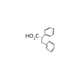 O=C(O)[C@@H](Cc1ccccc1)c1ccccc1